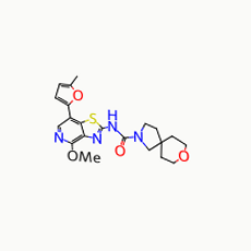 COc1ncc(-c2ccc(C)o2)c2sc(NC(=O)N3CCC4(CCOCC4)C3)nc12